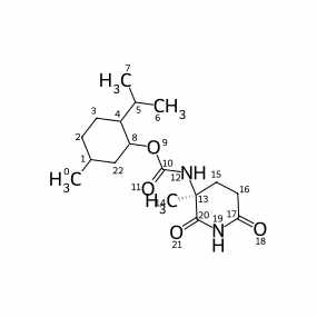 CC1CCC(C(C)C)C(OC(=O)N[C@@]2(C)CCC(=O)NC2=O)C1